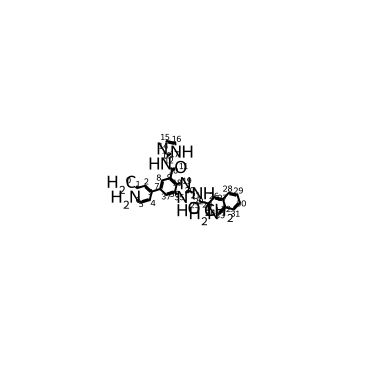 C=C/C=C(\C=C/N)c1cc(C(=O)Nc2ncc[nH]2)c2nc(NC(=O)C(=C)/C=c3/cccc/c3=C/N)[nH]c2c1